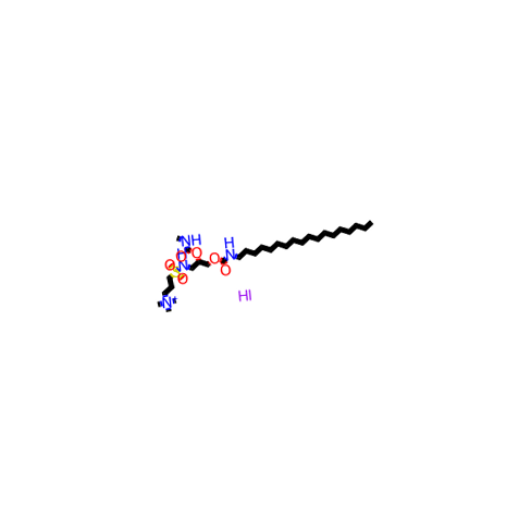 CCCCCCCCCCCCCCCCCCNC(=O)OCC(CNS(=O)(=O)CCC[N+](C)(C)C)OC(=O)NC.I